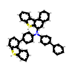 c1ccc(-c2ccc(N(c3ccc(-c4cccc5sc6ccccc6c45)cc3)c3cc4ccccc4c4c3sc3ccccc34)cc2)cc1